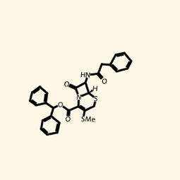 CSC1=C(C(=O)OC(c2ccccc2)c2ccccc2)N2C(=O)C(NC(=O)Cc3ccccc3)[C@@H]2SC1